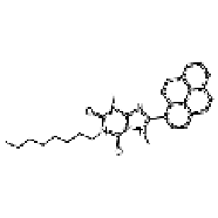 CCCCCCCCn1c(=O)c2c(nc(-c3ccc4ccc5cccc6ccc3c4c56)n2C)n(C)c1=O